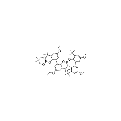 CCOc1cc(-c2cc(OCC)cc(C(C)(C)C)c2Op2oc3c(C(C)(C)C)cc(OC)cc3c3cc(OC)cc(C(C)(C)C)c3o2)c(OP2OCC(C)(C)CO2)c(C(C)(C)C)c1